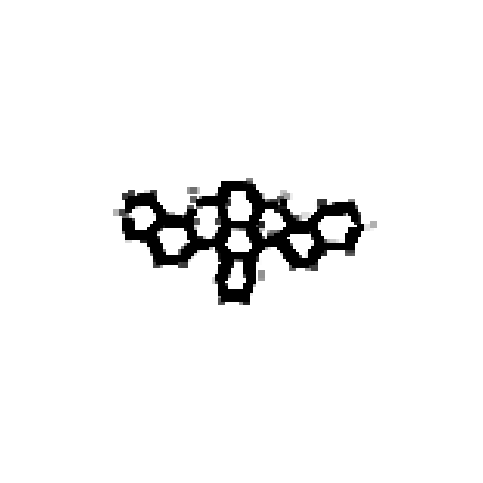 c1ccc2c3c4c(ccc5c4c(c2c1)-c1ccc2cnccc2c1O5)Oc1c-3ccc2cnccc12